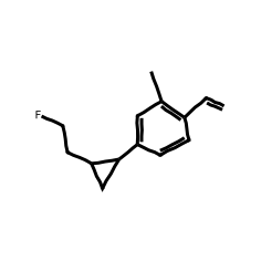 C=Cc1ccc(C2CC2CCF)cc1C